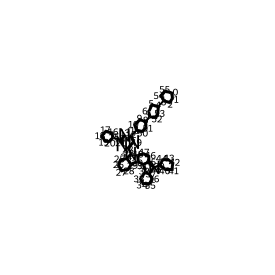 c1ccc(-c2ccc(-c3ccc(-c4nc(-c5ccccc5)nc(-n5c6ccccc6c6c7c8ccccc8n(-c8ccccc8)c7ccc65)n4)cc3)cc2)cc1